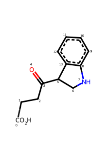 O=C(O)CCC(=O)C1CNc2ccccc21